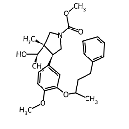 COC(=O)N1C[C@@H](c2ccc(OC)c(OC(C)CCc3ccccc3)c2)[C@](C)([C@@H](C)O)C1